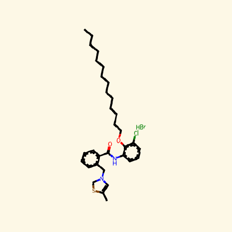 Br.CCCCCCCCCCCCCCOc1c(Cl)cccc1NC(=O)c1ccccc1CN1C=C(C)SC1